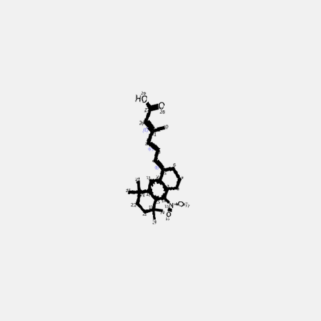 CC(/C=C/C=C1\CCCc2c1cc1c(c2[N+](=O)[O-])C(C)(C)CCC1(C)C)=C\C(=O)O